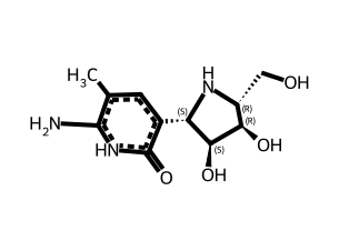 Cc1cc([C@@H]2N[C@H](CO)[C@@H](O)[C@H]2O)c(=O)[nH]c1N